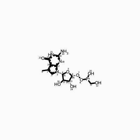 Cc1cn([C@@H]2O[C@H](OOP(O)CO)[C@H](O)C2O)c2nc(N)[nH]c(=O)c12